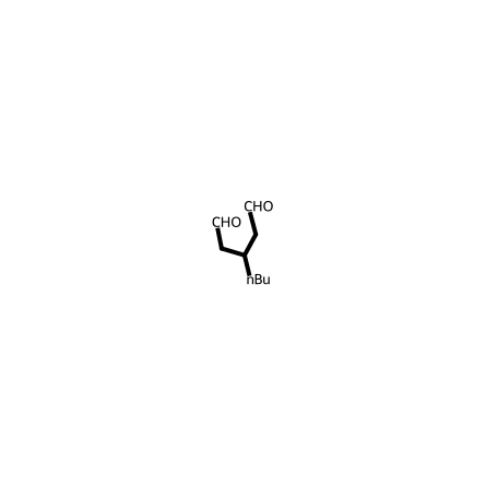 CCCCC(CC=O)CC=O